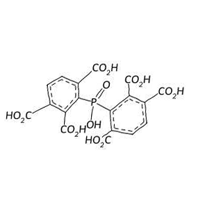 O=C(O)c1ccc(C(=O)O)c(P(=O)(O)c2c(C(=O)O)ccc(C(=O)O)c2C(=O)O)c1C(=O)O